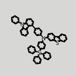 c1ccc(-n2c3ccccc3c3c(-c4ccc(N(c5ccc([Si](c6ccccc6)(c6ccccc6)c6ccccc6)cc5)c5ccc6c(c5)sc5ccccc56)cc4)cccc32)cc1